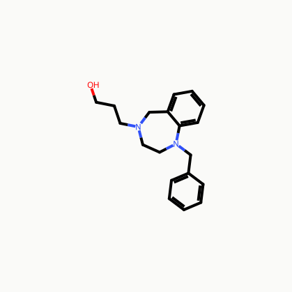 OCCCN1CCN(Cc2ccccc2)c2ccccc2C1